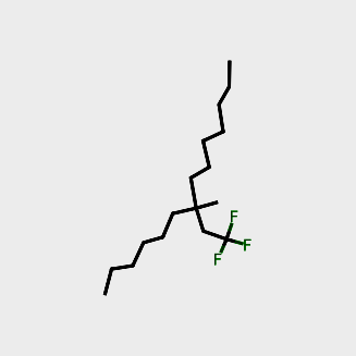 CCCCCCCC(C)(CCCCCC)CC(F)(F)F